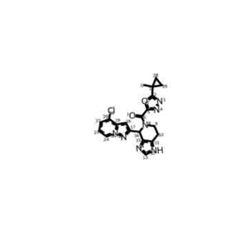 CC1(c2nnc(C(=O)N3CCc4[nH]cnc4C3c3cc4c(Cl)cccn4n3)o2)CC1